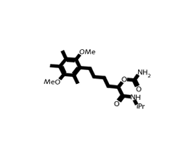 COc1c(C)c(C)c(OC)c(CCCCC(OC(N)=O)C(=O)NC(C)C)c1C